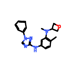 Cc1ccc(Nc2ncn(-c3ccccc3)n2)cc1N(C)C1COC1